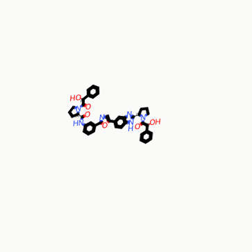 O=C(Nc1cccc(-c2ncc(-c3ccc4[nH]c([C@@H]5CCCN5C(=O)[C@H](O)c5ccccc5)nc4c3)o2)c1)[C@@H]1CCCN1C(=O)[C@H](O)c1ccccc1